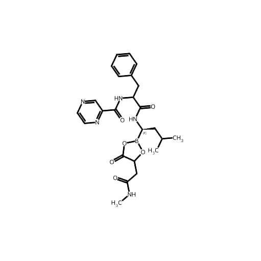 CNC(=O)CC1OB([C@H](CC(C)C)NC(=O)C(Cc2ccccc2)NC(=O)c2cnccn2)OC1=O